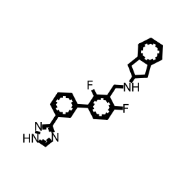 Fc1ccc(-c2cccc(-c3nc[nH]n3)c2)c(F)c1CNC1Cc2ccccc2C1